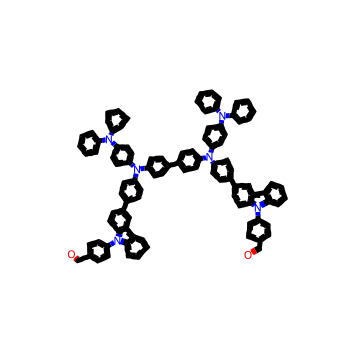 O=Cc1ccc(-n2c3ccccc3c3cc(-c4ccc(N(c5ccc(-c6ccc(N(c7ccc(-c8ccc9c(c8)c8ccccc8n9-c8ccc(C=O)cc8)cc7)c7ccc(N(c8ccccc8)c8ccccc8)cc7)cc6)cc5)c5ccc(N(c6ccccc6)c6ccccc6)cc5)cc4)ccc32)cc1